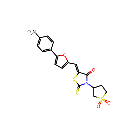 O=C1C(=Cc2ccc(-c3ccc([N+](=O)[O-])cc3)o2)SC(=S)N1C1CCS(=O)(=O)C1